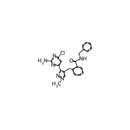 Cn1cc(Cc2ccccc2C(=O)NCc2ccccc2)c(-c2cc(Cl)nc(N)n2)n1